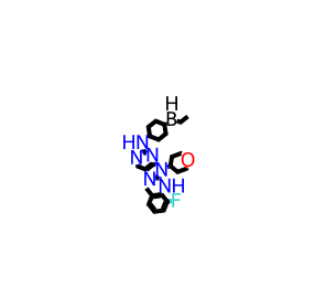 CCB[C@H]1CC[C@H](Nc2ncc3nc(Nc4c(C)cccc4F)n(C4CCOCC4)c3n2)CC1